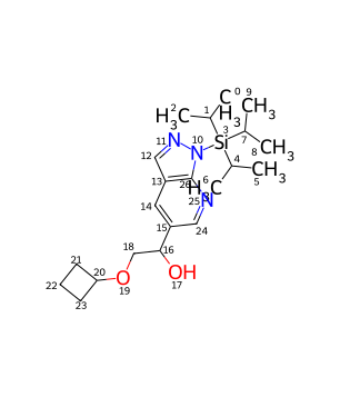 CC(C)[Si](C(C)C)(C(C)C)n1ncc2cc(C(O)COC3CCC3)cnc21